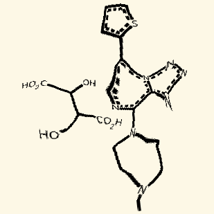 CN1CCN(c2ncc(-c3cccs3)n3nnnc23)CC1.O=C(O)C(O)C(O)C(=O)O